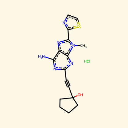 Cl.Cn1c(-c2nccs2)nc2c(N)nc(C#CC3(O)CCCC3)nc21